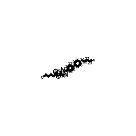 CCCCCC(=O)Oc1cnc(-c2ccc([C@H]3CC[C@H](CCCCC)CC3)cc2)nc1